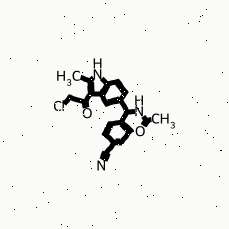 CC(=O)NC(c1ccc(C#N)cc1)c1ccc2[nH]c(C)c(C(=O)CCl)c2c1